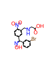 O=C(O)CNCc1cc(/C(=N/O)c2cccc(Br)c2)ccc1[N+](=O)[O-]